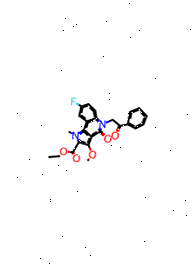 CCOC(=O)c1c(OC)c2c(=O)n(CC(=O)c3ccccc3)c3ccc(F)cc3c2n1C